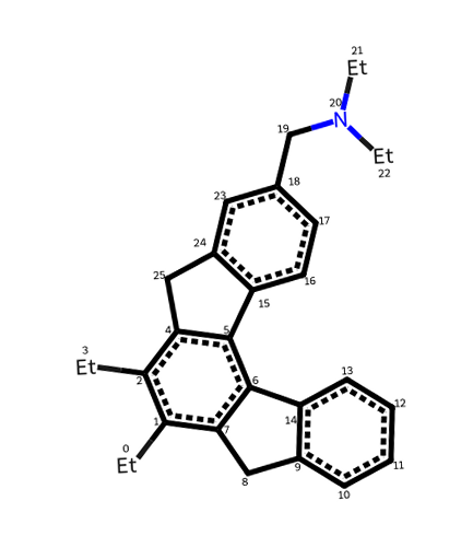 CCc1c(CC)c2c(c3c1Cc1ccccc1-3)-c1ccc(CN(CC)CC)cc1C2